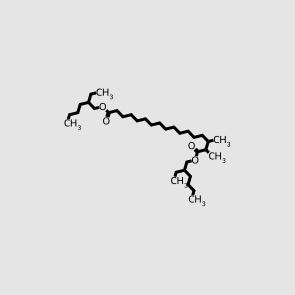 CCCCC(CC)COC(=O)CCCCCCCCCCCCCC(C)C(C)C(=O)OCC(CC)CCCC